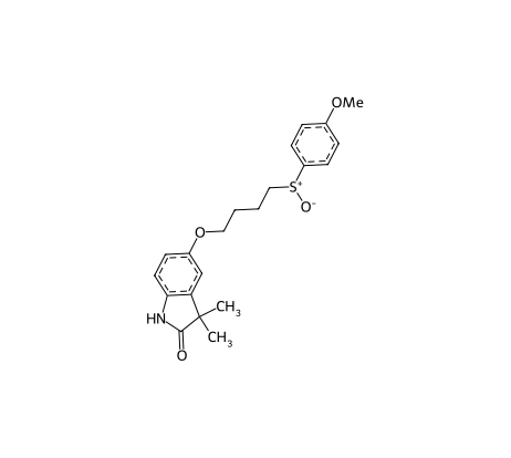 COc1ccc([S+]([O-])CCCCOc2ccc3c(c2)C(C)(C)C(=O)N3)cc1